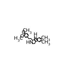 COc1ccc(CCC2NCCc3c2[nH]c2cc(C)c(C)cc32)cc1OC